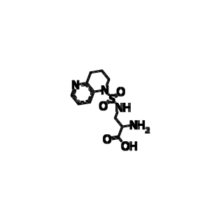 NC(CNS(=O)(=O)N1CCCc2ncccc21)C(=O)O